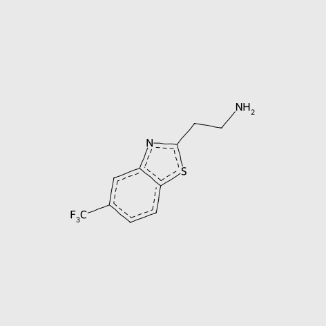 NCCc1nc2cc(C(F)(F)F)ccc2s1